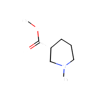 CC(C)OC(=O)[C@@H]1CCCN(C(C)C)C1